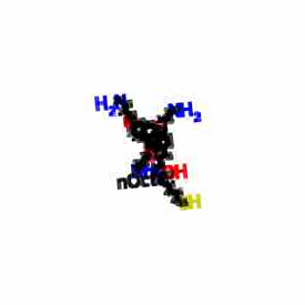 CCCCCCCCN(CCC[C@@H](C)C1CC[C@H]2C3[C@H](OCCCN)CC4CC(OCCCN)CCC4(C)[C@H]3C[C@H](OCCCN)C12C)C(O)CCCCCS